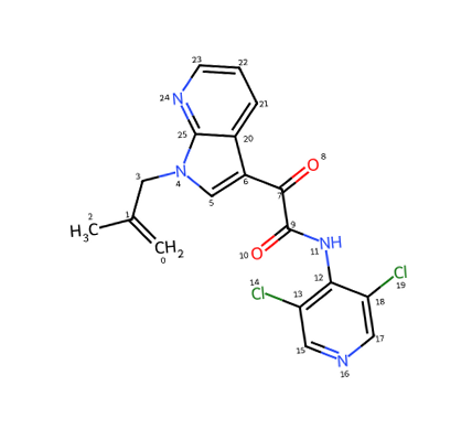 C=C(C)Cn1cc(C(=O)C(=O)Nc2c(Cl)cncc2Cl)c2cccnc21